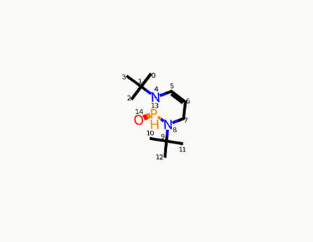 CC(C)(C)N1C=CCN(C(C)(C)C)[PH]1=O